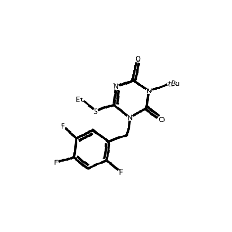 CCSc1nc(=O)n(C(C)(C)C)c(=O)n1Cc1cc(F)c(F)cc1F